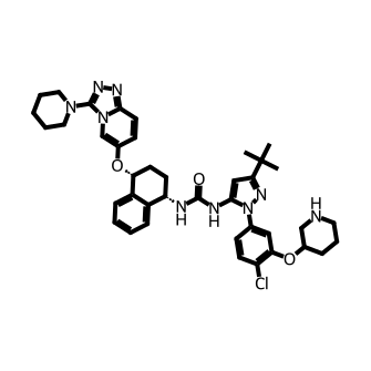 CC(C)(C)c1cc(NC(=O)N[C@H]2CC[C@@H](Oc3ccc4nnc(N5CCCCC5)n4c3)c3ccccc32)n(-c2ccc(Cl)c(OC3CCCNC3)c2)n1